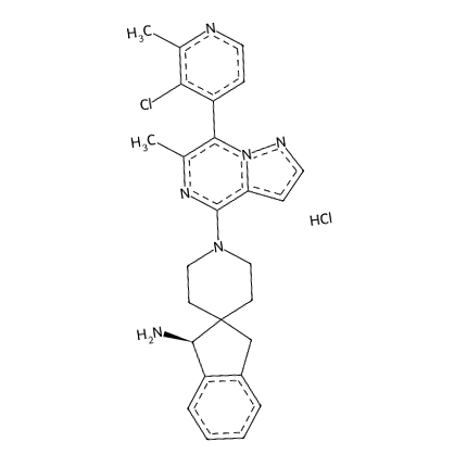 Cc1nccc(-c2c(C)nc(N3CCC4(CC3)Cc3ccccc3[C@H]4N)c3ccnn23)c1Cl.Cl